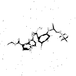 CCOC(=O)c1cnn2ccc(N[C@H](C)c3cc(F)ccc3SC(C)CO[Si](C)(C)C(C)(C)C)nc12